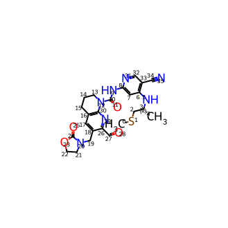 CSC[C@@H](C)Nc1cc(NC(=O)N2CCCc3cc(CN4CCOC4=O)c(C=O)nc32)ncc1C#N